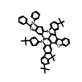 CC(C)(C)c1ccc(N2B3c4cc5nc(-c6ccccc6)n(-c6ccccc6)c5cc4-n4c5ccc(C(C)(C)C)cc5c5c6c(oc7ccccc76)c(c3c54)-c3cc4c(cc32)-c2ccc(C(C)(C)C)cc2C4(C)C)cc1